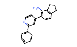 Nc1c(-c2ccnc(-c3ccccc3)c2)ccc2c1CCC2